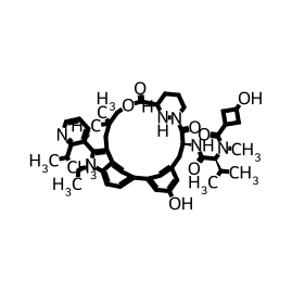 CCn1c(-c2cccnc2C(C)C)c2c3cc(ccc31)-c1cc(O)cc(c1)C[C@H](NC(=O)[C@H](C(C)C)N(C)C(=O)C1CC(O)C1)C(=O)N1CCC[C@H](N1)C(=O)OCC(C)(C)C2